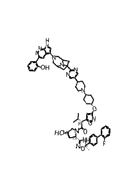 CC(C)[C@@H](C(=O)N1C[C@H](O)C[C@H]1C1=NO[C@](C)(c2ccc(-c3ccccc3F)cc2)N1)c1cc(O[C@H]2CC[C@H](N3CCC(c4cnc(C56CC7CN(c8c[nH]c9nnc(-c%10ccccc%10O)cc89)CC(C5)N76)nc4)CC3)CC2)no1